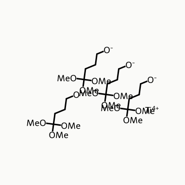 COC(CCC[O-])(OC)OC.COC(CCC[O-])(OC)OC.COC(CCC[O-])(OC)OC.COC(CCC[O-])(OC)OC.[Ti+4]